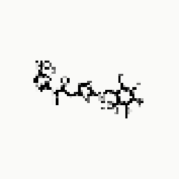 O=C(Cc1csc(N(Cc2c(F)c(F)c(F)c(F)c2F)C(=O)O)n1)Nc1ncc([N+](=O)[O-])s1